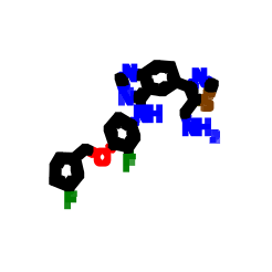 NCc1scnc1-c1ccc2ncnc(Nc3ccc(OCc4cccc(F)c4)c(F)c3)c2c1